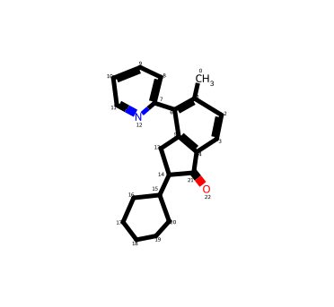 Cc1ccc2c(c1-c1ccccn1)CC(C1CCCCC1)C2=O